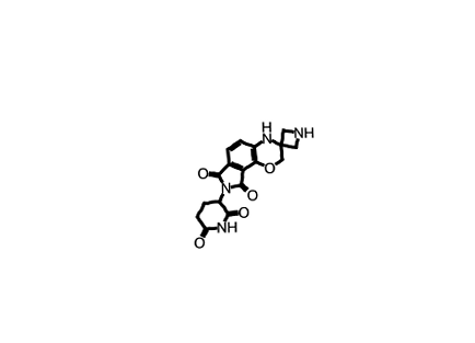 O=C1CCC(N2C(=O)c3ccc4c(c3C2=O)OCC2(CNC2)N4)C(=O)N1